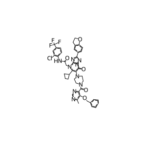 Cc1ncnc(C(=O)N2CCN(c3c(C4CCC4)n(CC(=O)Nc4ccc(C(F)(F)F)cc4Cl)c4nc(-c5ccc6c(c5)CCO6)nn4c3=O)CC2)c1OCc1ccccc1